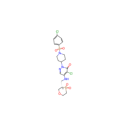 O=c1c(Cl)c(NC[C@H]2COCCS2(=O)=O)cnn1C1CCN(S(=O)(=O)c2ccc(Cl)cc2)CC1